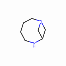 C1CCN2CC(C2)NC1